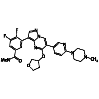 CNC(=O)c1cc(F)c(F)c(-c2cnn3cc(-c4ccc(N5CCN(C)CC5)nc4)c(OC4CCOC4)nc23)c1